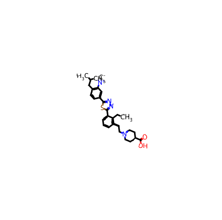 [C-]#[N+]c1cc(-c2nnc(-c3cccc(CCN4CCC(C(=O)O)CC4)c3CC)s2)ccc1CC(C)C